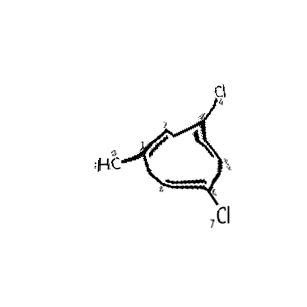 [CH]c1cc(Cl)cc(Cl)c1